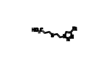 CCc1cn(CCSCCC(=O)O)nn1